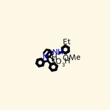 CCc1ccc(OC)c(CN[C@H]2C3CCN(CC3)[C@@]2(CS(=O)(=O)O)C(c2ccccc2)c2ccccc2)c1